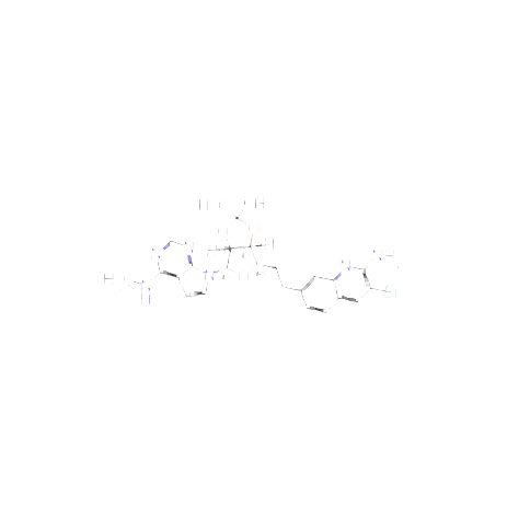 CNc1ncnc2c1ccn2[C@@H]1O[C@H](CCc2ccc3cc(Br)c(N)nc3c2)[C@H]2OC(C)(C)O[C@H]21